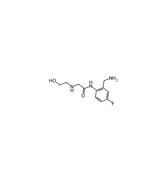 NCc1cc(F)ccc1NC(=O)CNCCO